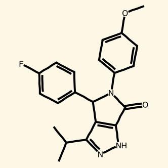 COc1ccc(N2C(=O)c3[nH]nc(C(C)C)c3C2c2ccc(F)cc2)cc1